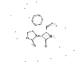 C=C[C@H]1NC(=O)[C@H]1N1C(=O)OC[C@@H]1c1ccccc1